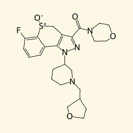 O=C(c1nn(C2CCCN(CC3CCOC3)C2)c2c1C[S+]([O-])c1c(F)cccc1-2)N1CCOCC1